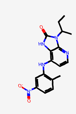 CCC(C)n1c(=O)[nH]c2c(Nc3cc([N+](=O)[O-])ccc3C)ccnc21